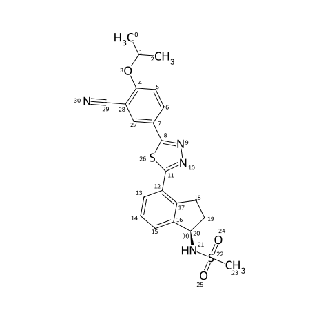 CC(C)Oc1ccc(-c2nnc(-c3cccc4c3CC[C@H]4NS(C)(=O)=O)s2)cc1C#N